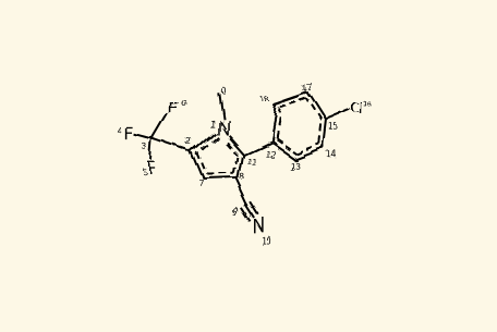 Cn1c(C(F)(F)F)cc(C#N)c1-c1ccc(Cl)cc1